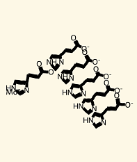 O=C([O-])C=Cc1c[nH]cn1.O=C([O-])C=Cc1c[nH]cn1.O=C([O-])C=Cc1c[nH]cn1.O=C([O-])C=Cc1c[nH]cn1.O=C([O-])C=Cc1c[nH]cn1.O=C([O-])C=Cc1c[nH]cn1.[Mo+6]